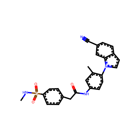 CNS(=O)(=O)c1ccc(CC(=O)Nc2ccc(-n3ccc4ccc(C#N)cc43)c(C)c2)cc1